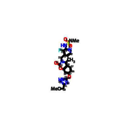 CNS(=O)(=O)Nc1nccc(CN2C(=O)Oc3cc(Oc4nc(COC)n[nH]4)ccc3[C@@H]2C)c1F